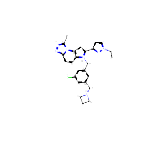 CCn1ccc(-c2cc3c(ccc4nnc(C)n43)n2Cc2cc(Cl)cc(CN3CCC3)c2)n1